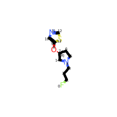 FCCCN1CC[C@@H](Oc2cncs2)C1